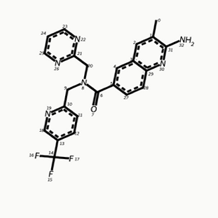 Cc1cc2cc(C(=O)N(Cc3ccc(C(F)(F)F)cn3)Cc3ncccn3)ccc2nc1N